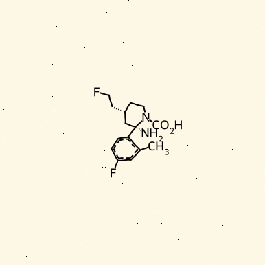 Cc1cc(F)ccc1[C@@]1(N)C[C@H](CCF)CCN1C(=O)O